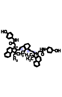 CC1(C)C(/C=C/C2=C(Cl)C(=C/C=C3/N(CC(=O)Nc4ccc(O)cc4)c4ccc5ccccc5c4C3(C)C)/CCC2)=[N+](CC(=O)Nc2ccc(O)cc2)c2ccc3ccccc3c21